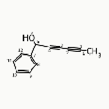 CC#CC#CC(O)c1ccccc1